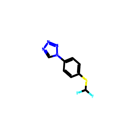 FC(F)Sc1ccc(-n2cnnn2)cc1